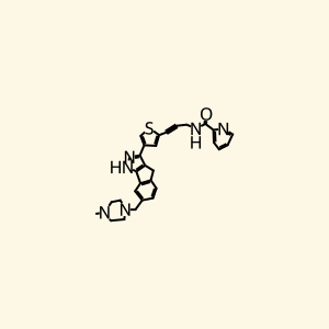 CN1CCN(Cc2ccc3c(c2)-c2[nH]nc(-c4csc(C#CCNC(=O)c5ccccn5)c4)c2C3)CC1